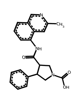 Cc1cc2c(NC(=O)C3CN(C(=O)O)CC3c3ccccc3)cccc2cn1